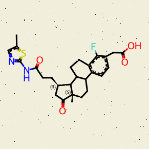 Cc1cnc(NC(=O)CC[C@@H]2CC(=O)[C@@]3(C)CCC4c5ccc(CC(=O)O)c(F)c5CCC4C23)s1